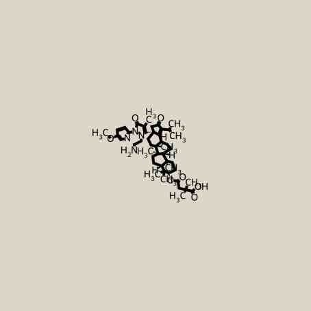 COc1ccc(-n2c(=O)c(C)c([C@@]34CC[C@]5(C)[C@H](CC[C@@H]6[C@@]7(C)CC[C@H](OC(=O)CC(C)(C)C(=O)O)C(C)(C)[C@@H]7CC[C@]65C)C3=C(C(C)C)C(=O)C4)n2CCN)nc1